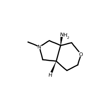 CN1C[C@H]2CCOC[C@@]2(N)C1